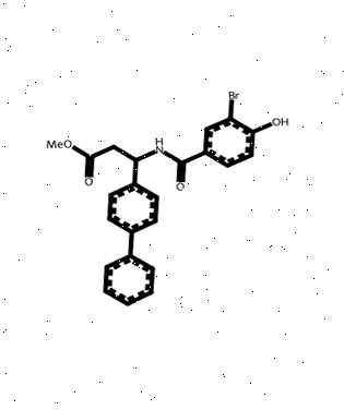 COC(=O)CC(NC(=O)c1ccc(O)c(Br)c1)c1ccc(-c2ccccc2)cc1